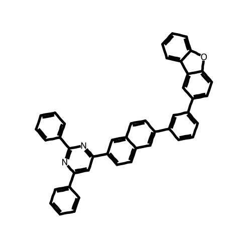 c1ccc(-c2cc(-c3ccc4cc(-c5cccc(-c6ccc7oc8ccccc8c7c6)c5)ccc4c3)nc(-c3ccccc3)n2)cc1